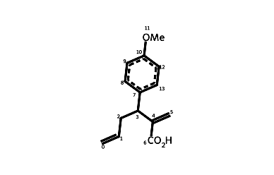 C=CCC(C(=C)C(=O)O)c1ccc(OC)cc1